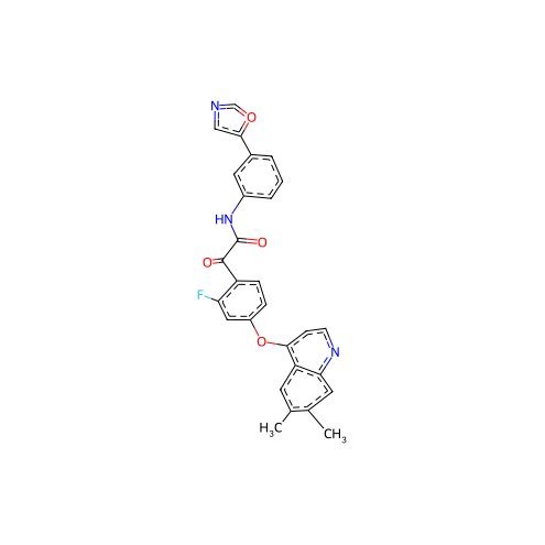 Cc1cc2nccc(Oc3ccc(C(=O)C(=O)Nc4cccc(-c5cnco5)c4)c(F)c3)c2cc1C